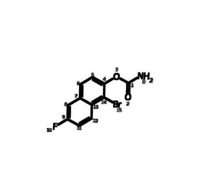 NC(=O)Oc1ccc2cc(F)ccc2c1Br